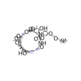 CO[C@H]1/C=C/O[C@@]2(C)Oc3c(C)c(O)c4c(=O)c(c5oc6cc(OCCOCC[N+](C)(C)C(C)(C)C)ccc6nc-5c4c3C2=O)NC(=O)/C(C)=C\C=C\[C@H](C)[C@H](O)[C@@H](C)[C@@H](C)[C@@H](C)[C@H](OC(C)=O)[C@@H]1C